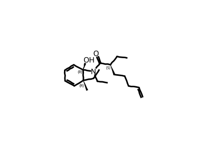 C=CCCC[C@H](CC)C(=O)N(CC)[C@@]1(O)C=CC=C[C@@]1(C)CC